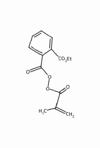 C=C(C)C(=O)OOC(=O)c1ccccc1C(=O)OCC